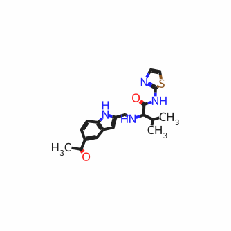 CC(=O)c1ccc2[nH]c(CNC(C(=O)Nc3nccs3)C(C)C)cc2c1